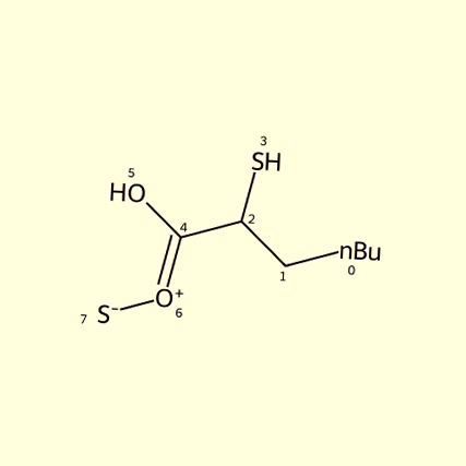 CCCCCC(S)C(O)=[O+][S-]